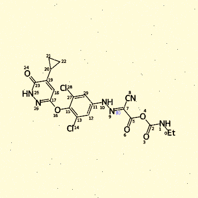 CCNC(=O)OC(=O)/C(C#N)=N/Nc1cc(Cl)c(Oc2cc(C3CC3)c(=O)[nH]n2)c(Cl)c1